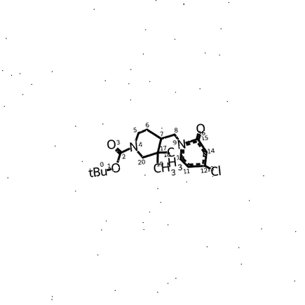 CC(C)(C)OC(=O)N1CCC(Cn2ccc(Cl)cc2=O)C(C)(C)C1